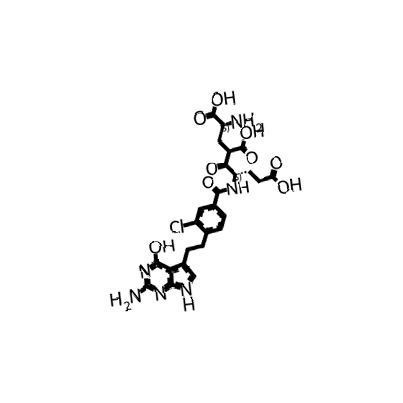 Nc1nc(O)c2c(CCc3ccc(C(=O)N[C@@H](CCC(=O)O)C(=O)C(C[C@H](N)C(=O)O)C(=O)O)cc3Cl)c[nH]c2n1